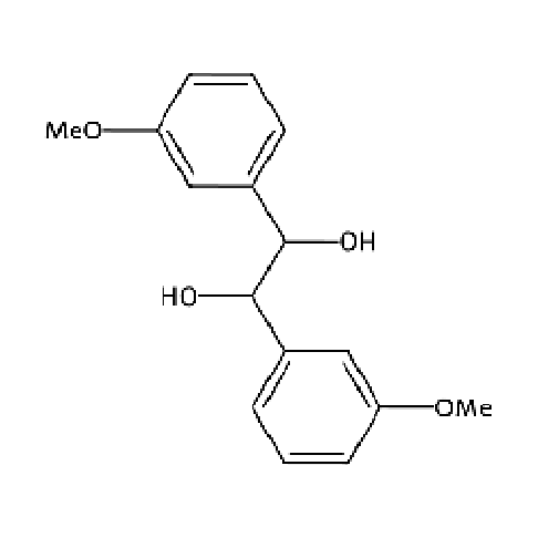 COc1cccc(C(O)C(O)c2cccc(OC)c2)c1